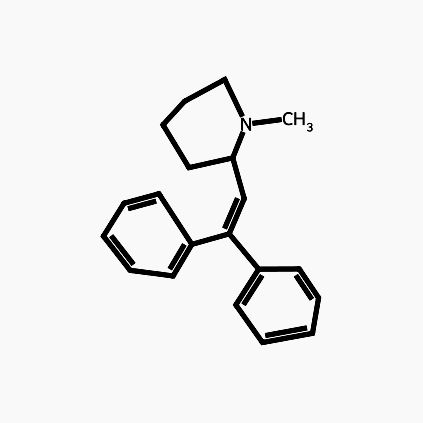 CN1CCCCC1C=C(c1ccccc1)c1ccccc1